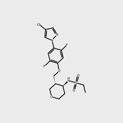 CCS(=O)(=O)N[C@H]1CCOC[C@@H]1COc1cc(F)c(-n2cc(Cl)cn2)cc1F